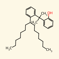 CCCCCCCC(CCCCCCC)c1ccccc1C(C)(C)c1ccccc1O